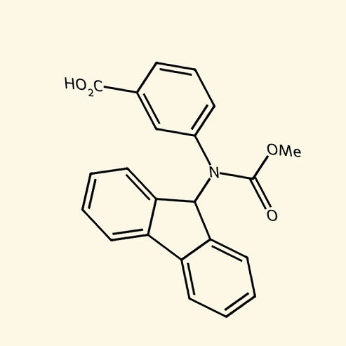 COC(=O)N(c1cccc(C(=O)O)c1)C1c2ccccc2-c2ccccc21